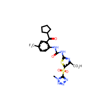 Cn1nnnc1S(=O)(=O)c1sc(NC(=O)Nc2ccc(C(F)(F)F)cc2C(=O)C2CCCC2)nc1C(=O)O